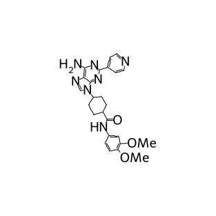 COc1ccc(NC(=O)C2CCC(n3cnc4c(N)nc(-c5ccncc5)nc43)CC2)cc1OC